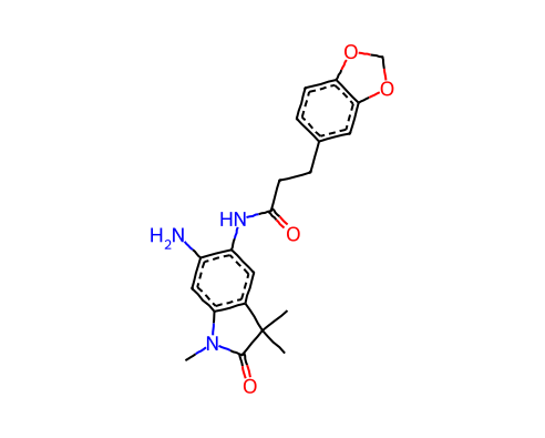 CN1C(=O)C(C)(C)c2cc(NC(=O)CCc3ccc4c(c3)OCO4)c(N)cc21